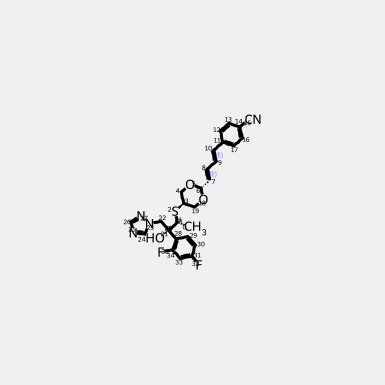 C[C@@H](S[C@H]1CO[C@H](/C=C/C=C/c2ccc(C#N)cc2)OC1)[C@](O)(Cn1cncn1)c1ccc(F)cc1F